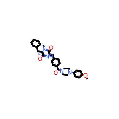 COc1ccc(N2CCN(C(=O)c3ccc(/C=c4\[nH]c(=O)/c(=C/c5ccccc5)n(C)c4=O)cc3)CC2)cc1